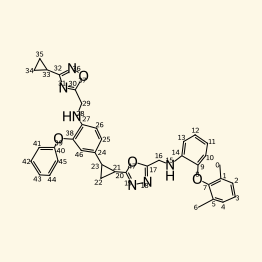 Cc1cccc(C)c1Oc1ccccc1NCc1nnc(C2CC2c2ccc(NCc3nc(C4CC4)no3)c(Oc3ccccc3)c2)o1